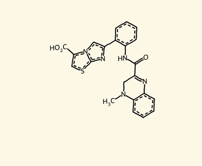 CN1CC(C(=O)Nc2ccccc2-c2cn3c(C(=O)O)csc3n2)=Nc2ccccc21